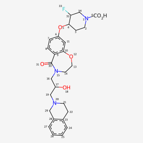 O=C(O)N1CCC(Oc2ccc3c(c2)OCCN(CC(O)CN2CCc4ccccc4C2)C3=O)C(F)C1